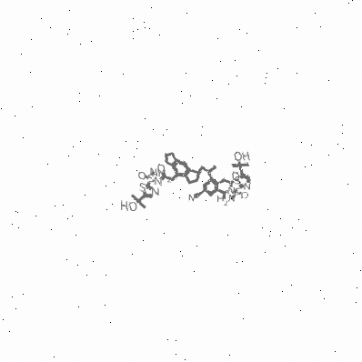 CC(C)c1cc(C#N)cc(C(C)CC2CCc3c2cc2c(c3CC(=O)N=S(N)(=O)c3ncc(C(C)(C)O)s3)CCC2)c1CC(=O)N=S(N)(=O)c1ncc(C(C)(C)O)s1